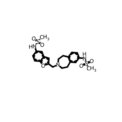 CS(=O)(=O)Nc1ccc2c(c1)CCN(Cc1cc3cc(NS(C)(=O)=O)ccc3o1)CC2